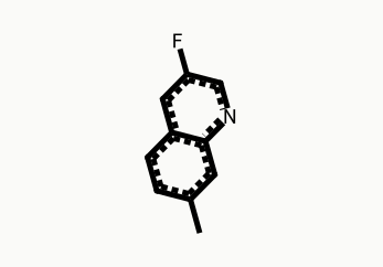 Cc1ccc2cc(F)cnc2c1